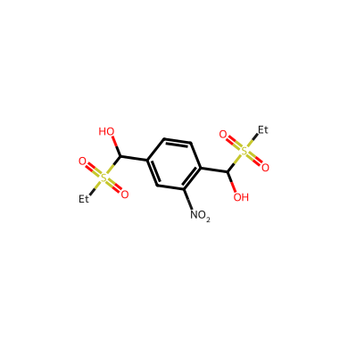 CCS(=O)(=O)C(O)c1ccc(C(O)S(=O)(=O)CC)c([N+](=O)[O-])c1